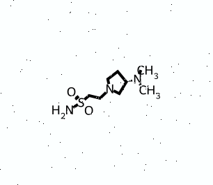 CN(C)[C@H]1CCN(CCS(N)(=O)=O)C1